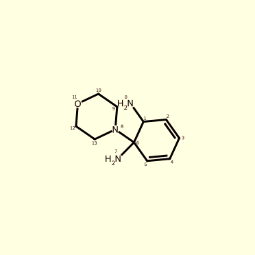 NC1C=CC=CC1(N)N1CCOCC1